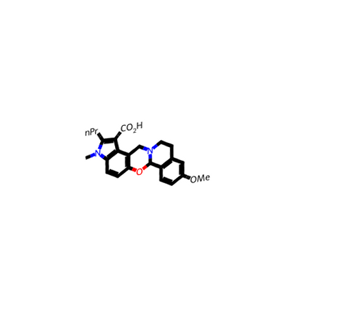 CCCc1c(C(=O)O)c2c3c(ccc2n1C)OC1c2ccc(OC)cc2CCN1C3